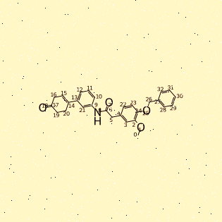 COc1cc(CC(=O)Nc2cccc(C3=CCC(=O)CC3)c2)ccc1OCc1ccccc1